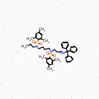 CCCN(CCCCN(CCCNC(c1ccccc1)(c1ccccc1)c1ccccc1)S(=O)(=O)c1c(C)cc(C)cc1C)S(=O)(=O)c1c(C)cc(C)cc1C